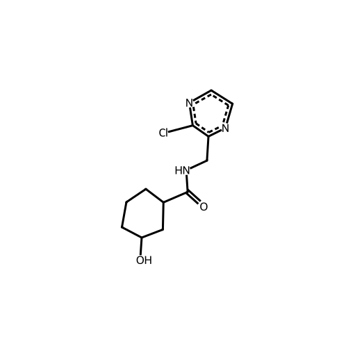 O=C(NCc1nccnc1Cl)C1CCCC(O)C1